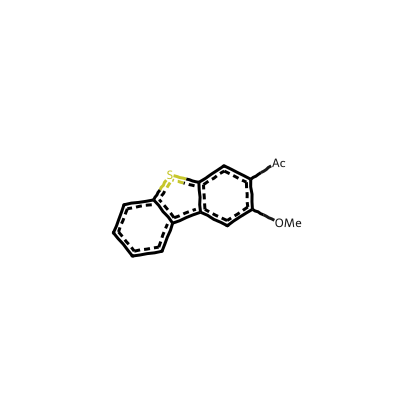 COc1cc2c(cc1C(C)=O)sc1ccccc12